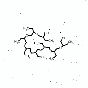 CCC(O)COC(CC)COC(CC)COC(CC)COC(CC)COC(CC)COC(CC)COC(CC)CO